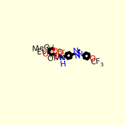 CCO[C@@H]1[C@@H](OC)[C@H](C)O[C@@H](OC(=O)Nc2ccc(-c3ncn(-c4ccc(OC(F)(F)F)cc4)n3)cc2Br)[C@@H]1OC